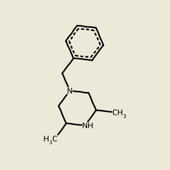 CC1CN(Cc2ccccc2)CC(C)N1